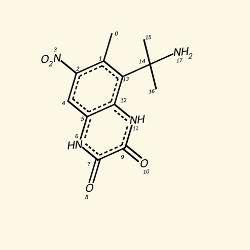 Cc1c([N+](=O)[O-])cc2[nH]c(=O)c(=O)[nH]c2c1C(C)(C)N